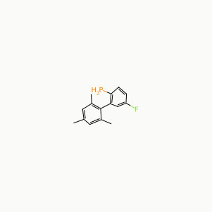 Cc1cc(C)c(-c2cc(F)ccc2P)c(C)c1